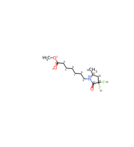 COC(=O)CCCCCCN1C(=O)C(F)(F)CC1C